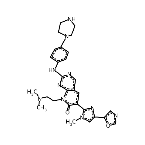 CN(C)CCn1c(=O)c(-c2nc(-c3cnco3)cn2C)cc2cnc(Nc3ccc(N4CCNCC4)cc3)nc21